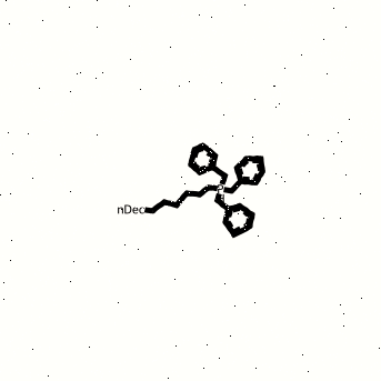 CCCCCCCCCCCCCCCC[PH](Cc1ccccc1)(Cc1ccccc1)Cc1ccccc1